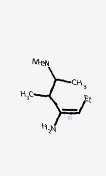 CC/C=C(/N)C(C)C(C)NC